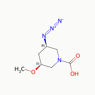 CO[C@H]1C[C@@H](N=[N+]=[N-])CN(C(=O)O)C1